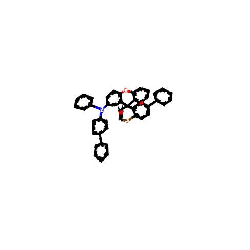 c1ccc(-c2ccc(N(c3ccccc3)c3ccc4c(c3)C3(c5ccccc5O4)c4ccccc4Sc4ccc(-c5ccccc5)cc43)cc2)cc1